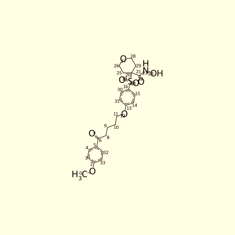 COc1ccc(C(=O)CCCCOc2ccc(S(=O)(=O)C3(C(=O)NO)CCOCC3)cc2)cc1